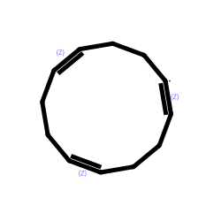 [C]1=C\CC/C=C\CC/C=C\CC/1